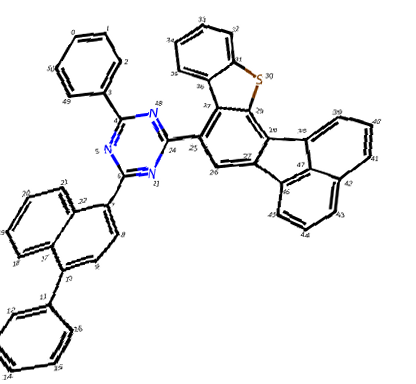 c1ccc(-c2nc(-c3ccc(-c4ccccc4)c4ccccc34)nc(-c3cc4c(c5sc6ccccc6c35)-c3cccc5cccc-4c35)n2)cc1